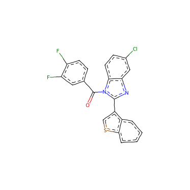 O=C(c1ccc(F)c(F)c1)n1c(-c2csc3ccccc23)nc2cc(Cl)ccc21